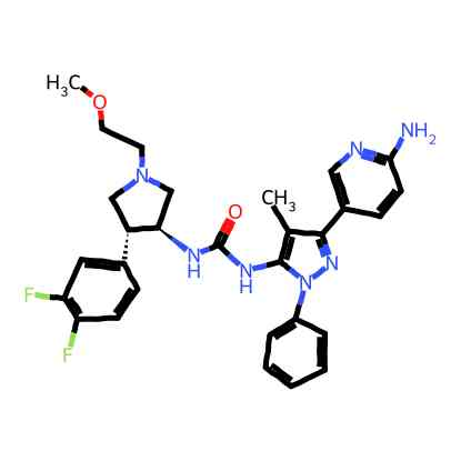 COCCN1C[C@@H](NC(=O)Nc2c(C)c(-c3ccc(N)nc3)nn2-c2ccccc2)[C@H](c2ccc(F)c(F)c2)C1